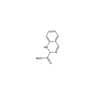 COC(=O)C1N=Cc2ccccc2N1